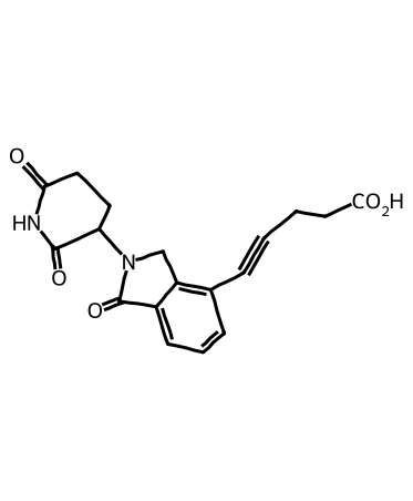 O=C(O)CCC#Cc1cccc2c1CN(C1CCC(=O)NC1=O)C2=O